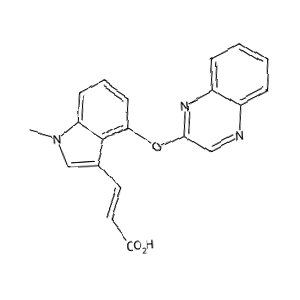 Cn1cc(/C=C/C(=O)O)c2c(Oc3cnc4ccccc4n3)cccc21